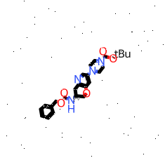 CC(C)(C)OC(=O)N1CCN(c2cnc3c(c2)OC[C@H](NC(=O)OCc2ccccc2)C3)CC1